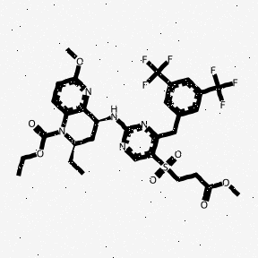 CCOC(=O)N1c2ccc(OC)nc2[C@@H](Nc2ncc(S(=O)(=O)CCC(=O)OC)c(Cc3cc(C(F)(F)F)cc(C(F)(F)F)c3)n2)C[C@H]1CC